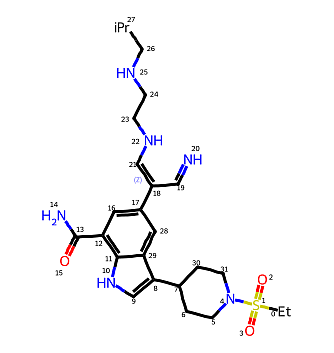 CCS(=O)(=O)N1CCC(c2c[nH]c3c(C(N)=O)cc(/C(C=N)=C/NCCNCC(C)C)cc23)CC1